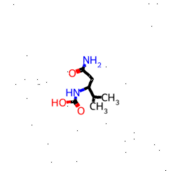 CC(C)C(CC(N)=O)NC(=O)O